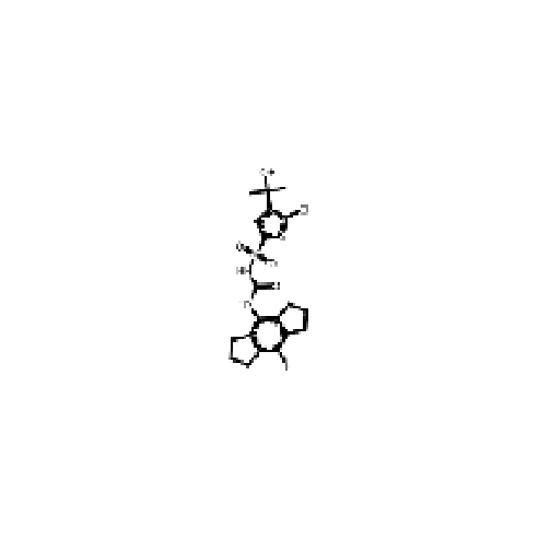 CC(C)(O)c1cc(S(=O)(=O)NC(=O)Nc2c3c(c(F)c4c2CCC4)CCC3)sc1Cl